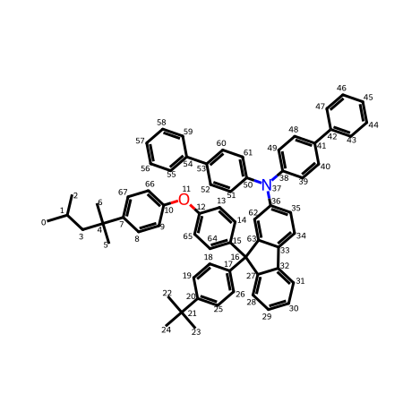 CC(C)CC(C)(C)c1ccc(Oc2ccc(C3(c4ccc(C(C)(C)C)cc4)c4ccccc4-c4ccc(N(c5ccc(-c6ccccc6)cc5)c5ccc(-c6ccccc6)cc5)cc43)cc2)cc1